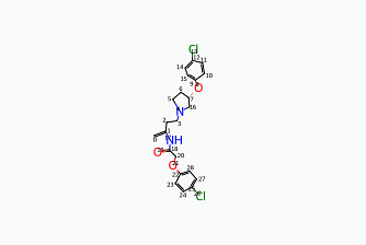 C=C(CCN1CC[C@H](Oc2ccc(Cl)cc2)C1)NC(=O)COc1ccc(Cl)cc1